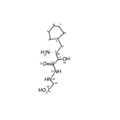 N[C@H](CC1CCCCC1)C(O)C(=O)NNCC(=O)O